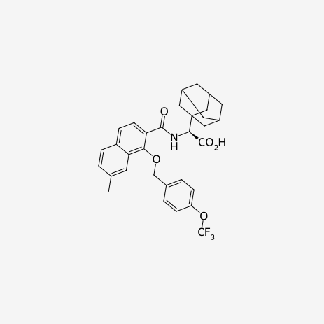 Cc1ccc2ccc(C(=O)N[C@H](C(=O)O)C34CC5CC(CC(C5)C3)C4)c(OCc3ccc(OC(F)(F)F)cc3)c2c1